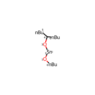 CCCC[O][Sn][O]C(CCCC)CCCC